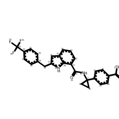 O=C(O)c1ccc(C2(NC(=O)c3cccc4cc(Cc5ccc(C(F)(F)F)cc5)[nH]c34)CC2)cc1